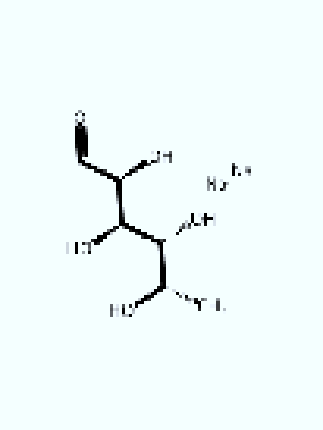 C[C@H](O)[C@@H](O)[C@@H](O)[C@H](O)C=O.[Na].[Na]